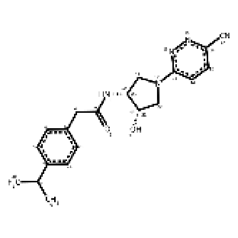 CC(c1ccc(CC(=O)N[C@@H]2CN(c3ccc(C#N)nn3)C[C@@H]2O)cc1)C(F)(F)F